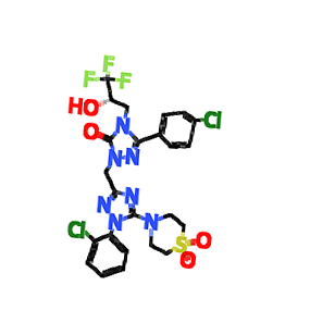 O=c1n(Cc2nc(N3CCS(=O)(=O)CC3)n(-c3ccccc3Cl)n2)nc(-c2ccc(Cl)cc2)n1C[C@H](O)C(F)(F)F